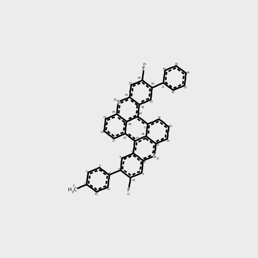 Cc1ccc(-c2cc3c(cc2F)sc2cccc4c2c3c2cccc3sc5cc(F)c(-c6ccccc6)cc5c4c32)cc1